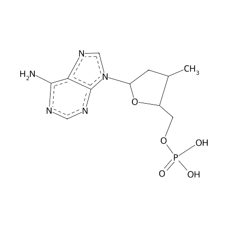 CC1CC(n2cnc3c(N)ncnc32)OC1COP(=O)(O)O